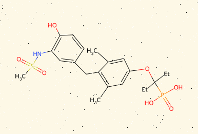 CCC(CC)(Oc1cc(C)c(Cc2ccc(O)c(NS(C)(=O)=O)c2)c(C)c1)P(=O)(O)O